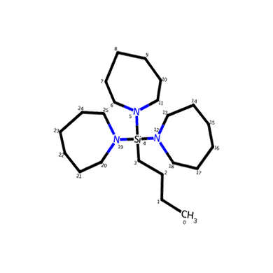 CCCC[Si](N1CCCCCC1)(N1CCCCCC1)N1CCCCCC1